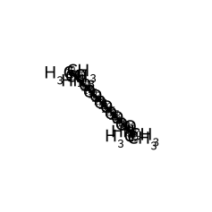 CC(C)(C)CCC(=O)NCCOCCOCCOCCOCCOCCOCCOCCOCCC(=O)NCC(C)(C)C